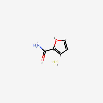 NC(=O)c1ccco1.S